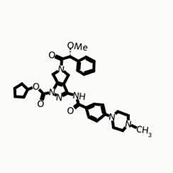 CO[C@@H](C(=O)N1Cc2c(NC(=O)c3ccc(N4CCN(C)CC4)cc3)nn(C(=O)OC3CCCC3)c2C1)c1ccccc1